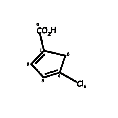 O=C(O)C1=CC=C(Cl)C1